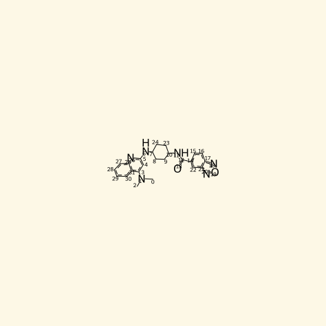 CN(C)c1cc(NC2CCC(NC(=O)c3ccc4nonc4c3)CC2)nc2ccccc12